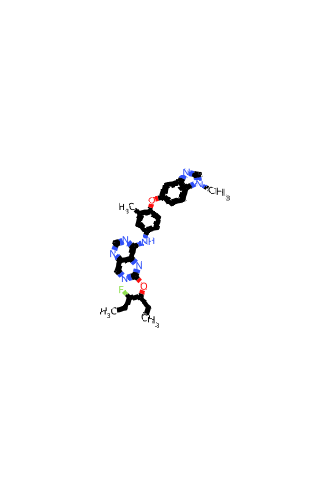 CCC(F)C(CC)Oc1ncc2ncnc(Nc3ccc(Oc4ccc5c(c4)ncn5C)c(C)c3)c2n1